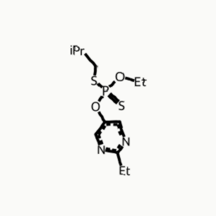 CCOP(=S)(Oc1cnc(CC)nc1)SCC(C)C